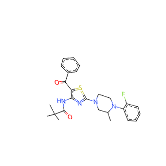 CC1CN(c2nc(NC(=O)C(C)(C)C)c(C(=O)c3ccccc3)s2)CCN1c1ccccc1F